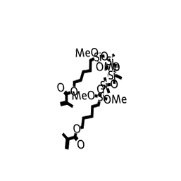 C=C(C)C(=O)OCCCCC[Si](OC)(OC)O[Si](C)(C)O[Si](C)(C)O[Si](C)(C)O[Si](CCCCCOC(=O)C(=C)C)(OC)OC